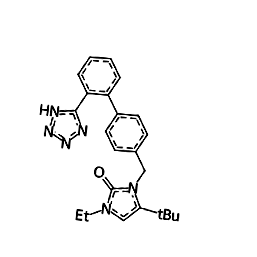 CCn1cc(C(C)(C)C)n(Cc2ccc(-c3ccccc3-c3nnn[nH]3)cc2)c1=O